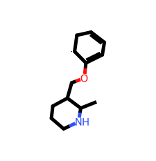 CC1NCCCC1COC1=CC=CC[CH]1